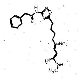 CN/C(N)=C/C=C(\N)CCCCc1nnc(NC(=O)CC2=CC=CCC2)s1